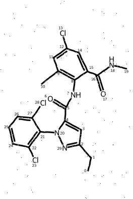 CCc1cc(C(=O)Nc2c(C)cc(Cl)cc2C(=O)NC)n(-c2c(Cl)cccc2Cl)n1